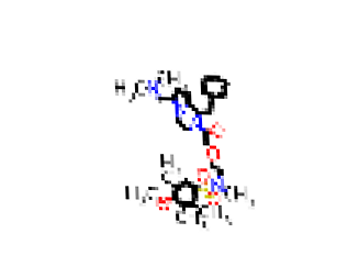 COc1c(C)cc(S(=O)(=O)N(C)CCOCC(=O)N2CCn3c(CN(C)C)ccc3C2Cc2ccccc2)c(C)c1C